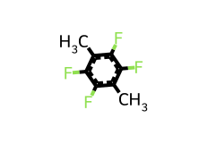 Cc1c(F)c(F)c(C)c(F)c1F